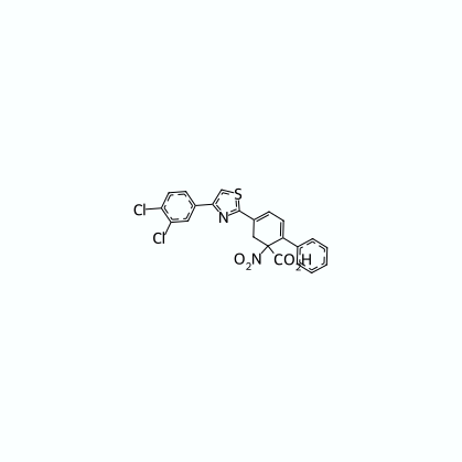 O=C(O)C1([N+](=O)[O-])CC(c2nc(-c3ccc(Cl)c(Cl)c3)cs2)=CC=C1c1ccccc1